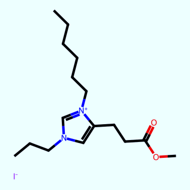 CCCCCC[n+]1cn(CCC)cc1CCC(=O)OC.[I-]